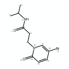 CC(C)NC(=O)CCn1cc(Br)ccc1=O